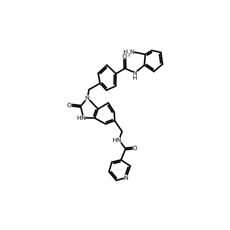 Nc1ccccc1NC(=O)c1ccc(Cn2c(=O)[nH]c3cc(CNC(=O)c4cccnc4)ccc32)cc1